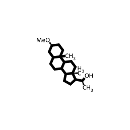 CO[C@H]1CCC2(C)C(CCC3C2CC[C@@]2(C)C3CCC2[C@H](C)O)C1